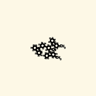 Cc1ccc2c(c1)c1ccccc1n2-c1cc(-c2cccc(-n3c4ccccc4c4cccnc43)c2)cc(-n2c3ccccc3c3cc(C)ccc32)c1C#N